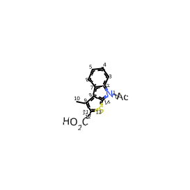 CC(=O)n1c2ccccc2c2c(C)c(C(=O)O)sc21